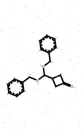 O=C1CC(C(OCc2ccccc2)OCc2ccccc2)C1